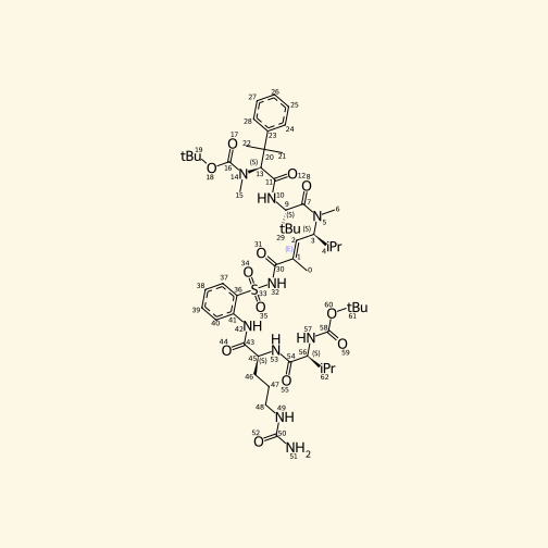 C/C(=C\[C@H](C(C)C)N(C)C(=O)[C@@H](NC(=O)[C@@H](N(C)C(=O)OC(C)(C)C)C(C)(C)c1ccccc1)C(C)(C)C)C(=O)NS(=O)(=O)c1ccccc1NC(=O)[C@H](CCCNC(N)=O)NC(=O)[C@@H](NC(=O)OC(C)(C)C)C(C)C